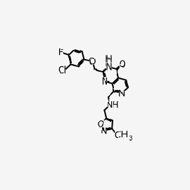 Cc1cc(CNCc2nccc3c(=O)[nH]c(COc4ccc(F)c(Cl)c4)nc23)on1